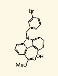 COC(=O)c1cccc2c1c1c(O)cccc1n2Cc1cccc(Br)c1